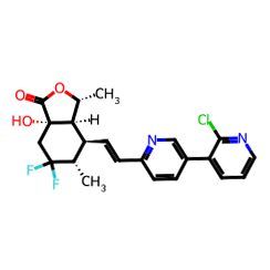 C[C@H]1OC(=O)[C@]2(O)CC(F)(F)[C@@H](C)[C@H](C=Cc3ccc(-c4cccnc4Cl)cn3)[C@H]12